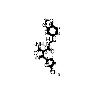 Cc1ccc(-c2noc(N)c2C(=O)NCc2ccc3c(c2)OCO3)o1